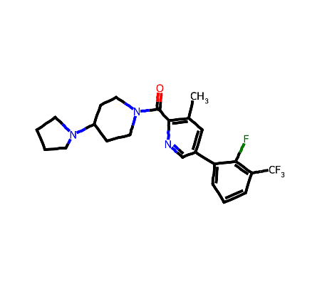 Cc1cc(-c2cccc(C(F)(F)F)c2F)cnc1C(=O)N1CCC(N2CCCC2)CC1